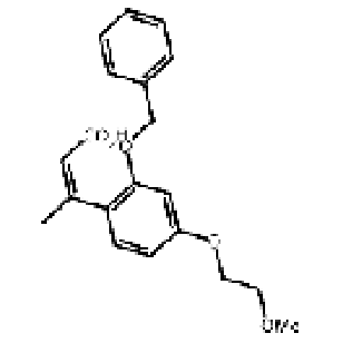 COCCOc1ccc(/C(C)=C\C(=O)O)c(OCc2ccccc2)c1